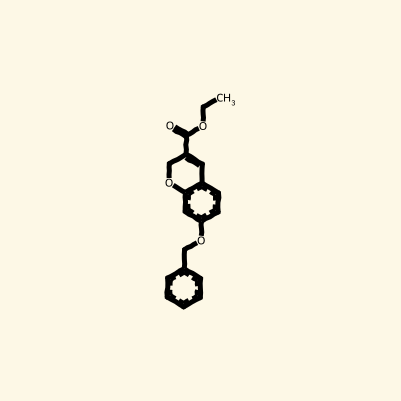 CCOC(=O)C1=Cc2ccc(OCc3ccccc3)cc2OC1